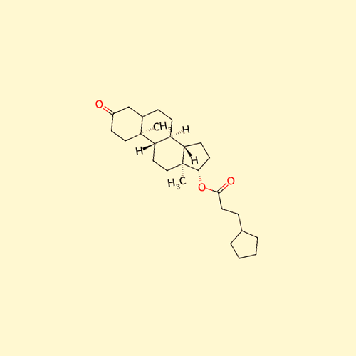 C[C@]12CC[C@H]3[C@@H](CCC4CC(=O)CC[C@@]43C)[C@@H]1CC[C@@H]2OC(=O)CCC1CCCC1